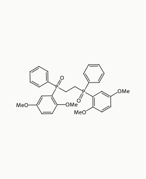 COc1ccc(OC)c(P(=O)(CCP(=O)(c2ccccc2)c2cc(OC)ccc2OC)c2ccccc2)c1